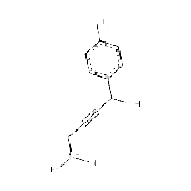 CC[N+](CC)CC#CC(O)c1ccc(C)cc1